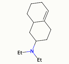 CCN(CC)C1CCC2=CCCCC2C1